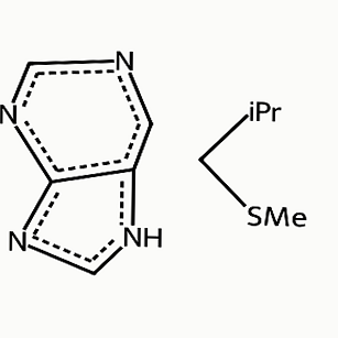 CSCC(C)C.c1ncc2[nH]cnc2n1